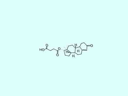 C[C@]12CC[C@H]3[C@@H](CCC4=CC(=O)CC[C@@H]43)[C@@H]1CC[C@@H]2OC(=O)CCC(=O)O